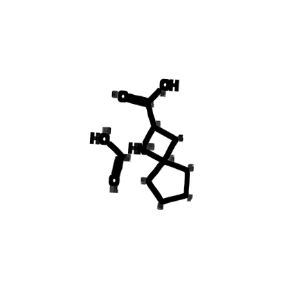 O=C(O)C1CC2(CCCC2)N1.O=CO